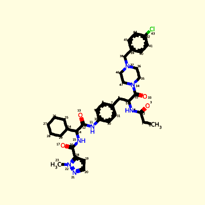 CCC(=O)NC(Cc1ccc(NC(=O)C(NC(=O)c2ccnn2C)C2CCCCC2)cc1)C(=O)N1CCN(Cc2ccc(Cl)cc2)CC1